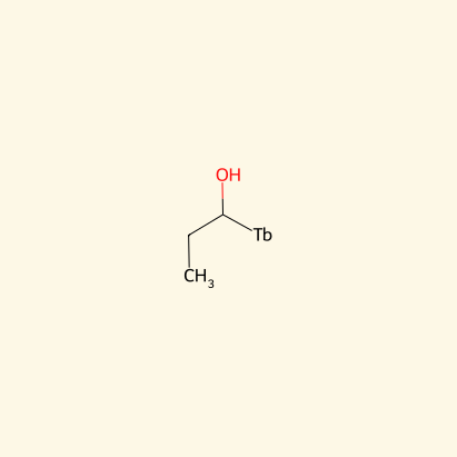 CC[CH](O)[Tb]